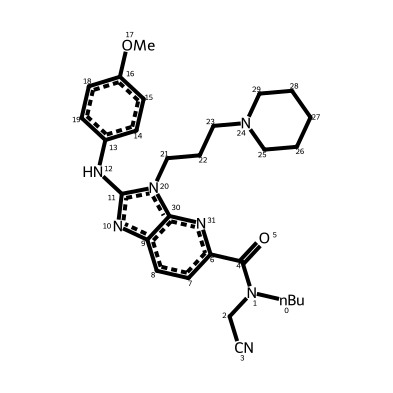 CCCCN(CC#N)C(=O)c1ccc2nc(Nc3ccc(OC)cc3)n(CCCN3CCCCC3)c2n1